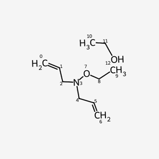 C=CCN(CC=C)OCC.CCO